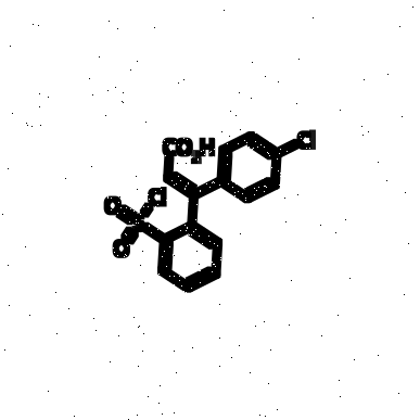 O=C(O)C=C(c1ccc(Cl)cc1)c1ccccc1S(=O)(=O)Cl